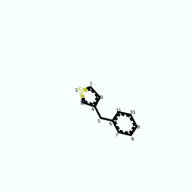 [c]1cs[c]c1Cc1ccccc1